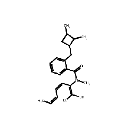 C\C=C/C=C\C(=C(\O)CC)N(C)C(=O)c1ccccc1CC1CC(C)C1C